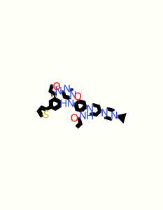 C=CC(=O)Nc1cc(Nc2cc(N3OCC[C@@H]3c3cccc(-c4cccs4)c3)ncn2)c(OC)cc1N1CCC(N2CCN(C3CC3)CC2)CC1